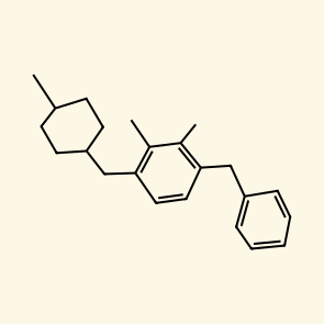 Cc1c(Cc2ccccc2)ccc(CC2CCC(C)CC2)c1C